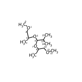 COCC(C)OC(OC(C)COC)C(C)C